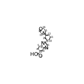 O=C(O)c1ccc2nc(-c3cccc(N4CCOCC4)c3)cnc2c1